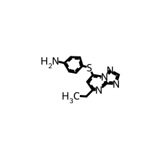 CCc1cc(Sc2ccc(N)cc2)n2ncnc2n1